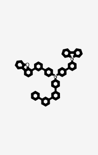 c1ccc(-c2cccc(-c3cccc(-c4ccc(N(c5ccc(-c6cccc(-c7cccc8c7oc7ccccc78)c6)cc5)c5ccc(-c6cccc(-n7c8ccccc8c8ccccc87)c6)cc5)cc4)c3)c2)cc1